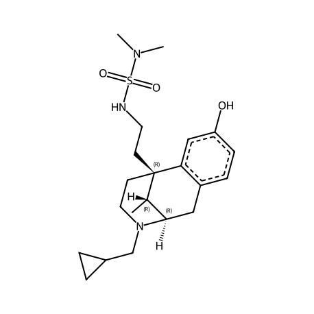 C[C@H]1[C@H]2Cc3ccc(O)cc3[C@@]1(CCNS(=O)(=O)N(C)C)CCN2CC1CC1